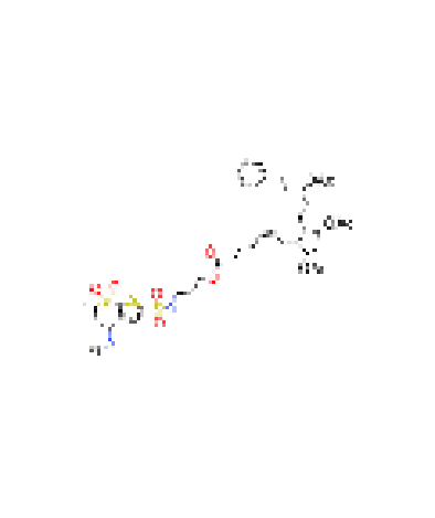 CCN[C@H]1C[C@H](C)S(=O)(=O)c2sc(S(=O)(=O)/N=C/CCOC(=O)CCC/C=C\C[C@@H]3[C@@H](CC[C@@H](CCc4ccccc4)OC(C)=O)[C@H](OC(C)=O)C[C@@H]3OC(C)=O)cc21